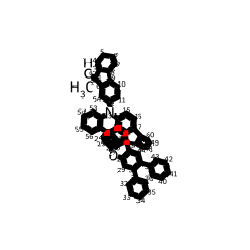 CC1(C)c2ccccc2-c2ccc(N(c3ccc4c(c3)C3(c5ccccc5Oc5cc(-c6ccccc6)c(-c6ccccc6)cc53)c3ccccc3-4)c3ccccc3-c3ccccc3)cc21